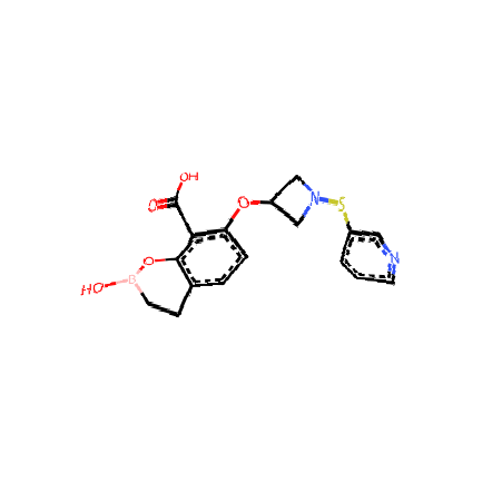 O=C(O)c1c(OC2CN(Sc3cccnc3)C2)ccc2c1OB(O)CC2